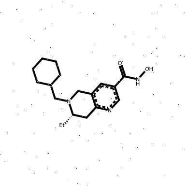 CC[C@H]1Cc2ncc(C(=O)NO)cc2CN1CC1CCCCC1